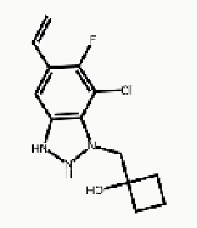 C=Cc1cc2c(c(Cl)c1F)N(CC1(O)CCC1)NN2